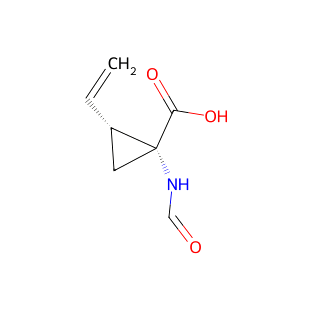 C=C[C@H]1C[C@]1(NC=O)C(=O)O